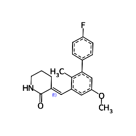 COc1cc(/C=C2\CCCNC2=O)c(C)c(-c2ccc(F)cc2)c1